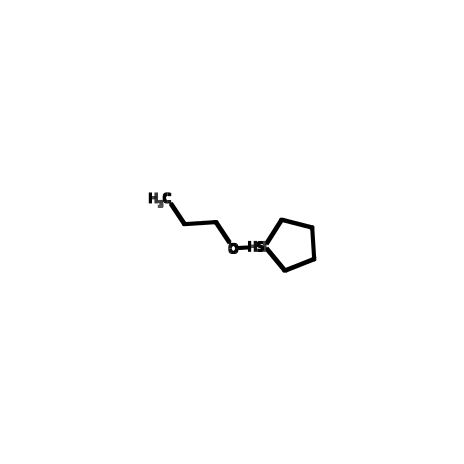 CCCO[SiH]1CCCC1